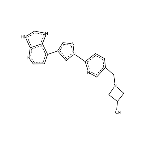 N#CC1CN(Cc2ccc(-n3cc(-c4ccnc5[nH]cnc45)cn3)nc2)C1